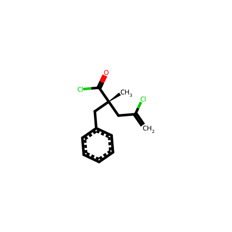 C=C(Cl)C[C@](C)(Cc1ccccc1)C(=O)Cl